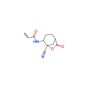 C=CC(=O)NC1CCC2CC1(C#N)OC2=O